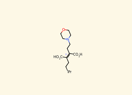 CC(C)CC/C(C(=O)O)=C(/CCN1CCOCC1)C(=O)O